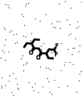 CCC(CC)C(=O)CC(=O)C(CC)CC(F)F